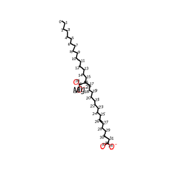 CCCCCCCCCCCCCCCCC(CCCCCCCCCCCCCCCC(=O)[O-])C(=O)[O-].[Mg+2]